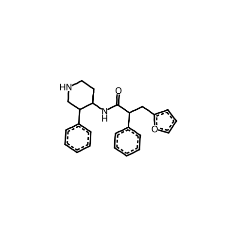 O=C(NC1CCNCC1c1ccccc1)C(Cc1ccco1)c1ccccc1